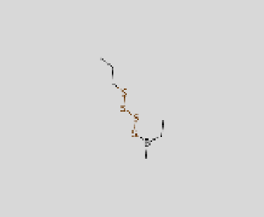 CCCSSSSB(C)CC